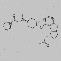 CC(=O)C[C@H]1CCC2=C1c1c(ncnc1O[C@H]1CC[C@H](N(C)CC(=O)N3CCCC3)CC1)C2